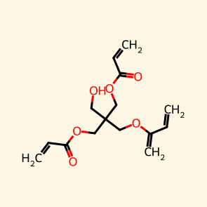 C=CC(=C)OCC(CO)(COC(=O)C=C)COC(=O)C=C